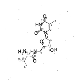 Cc1cn([C@H]2C[C@H](O)[C@@H](CNC(=O)[C@@H](N)C(C)C)O2)c(=O)[nH]c1=O